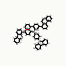 c1ccc(-c2ccc(-c3cccc4c3ccc3ccccc34)cc2N(c2ccc(-c3cccc4c3oc3ccccc34)cc2)c2ccc(-n3c4ccccc4c4ccccc43)cc2)cc1